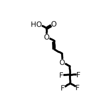 O=C(O)O/C=C/COCC(F)(F)C(F)F